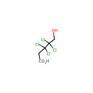 O=C(O)CC(Cl)(Cl)C(Cl)(Cl)CO